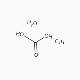 O.O=C(O)O.[CsH]